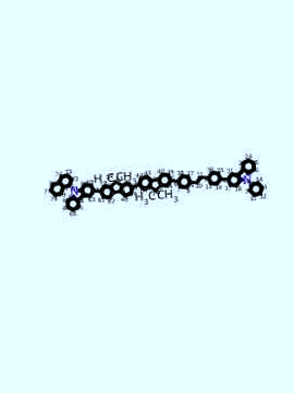 CC1(C)c2cc(-c3ccc(/C=C/c4ccc(-c5ccc6c(c5)c5ccccc5n6-c5ccccc5)cc4)cc3)ccc2-c2ccc(-c3ccc4c(c3)C(C)(C)c3cc(-c5ccc6c(c5)c5ccccc5n6-c5cccc6ccccc56)ccc3-4)cc21